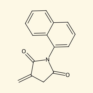 C=C1CC(=O)N(c2cccc3ccccc23)C1=O